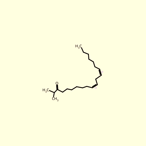 CCCCCC/C=C\C/C=C\CCCCCCC(=O)C(C)C